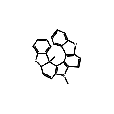 Cn1c2c(c3c4c(ccc31)oc1ccccc14)C1(C)c3ccccc3OC1C=C2